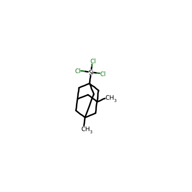 CC12CC3CC(C)(C1)CC([Si](Cl)(Cl)Cl)(C3)C2